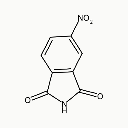 O=C1NC(=O)c2cc([N+](=O)[O-])ccc21